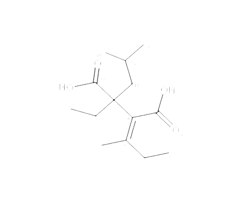 CCC(C)=C(C(=O)O)C(CC)(CC(C)C)C(=O)O